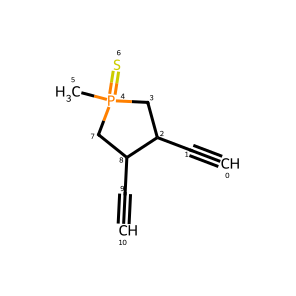 C#CC1CP(C)(=S)CC1C#C